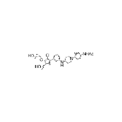 CC(=O)Nc1ccc(N2CCC(Nc3cccc(-c4sc(C(=O)O)c(OCC(=O)O)c4Cl)c3)CC2)nc1